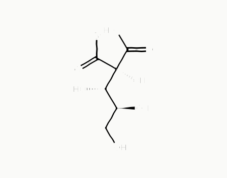 CC(=O)[C@](O)(C(=O)Br)[C@@H](O)[C@@H](O)CO